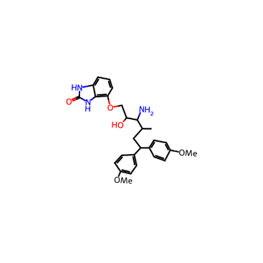 COc1ccc(C(CC(C)C(N)C(O)COc2cccc3[nH]c(=O)[nH]c23)c2ccc(OC)cc2)cc1